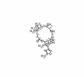 CC(=Cc1csc(C)n1)C1OC(=O)CCC(C)(C)C(=O)C(C)CC(C)CNCC2OC2(O)C1O